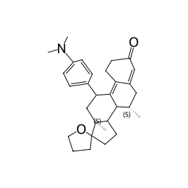 C[C@H]1CC2=CC(=O)CCC2=C2C(c3ccc(N(C)C)cc3)C[C@@]3(C)C(CCC34CCCO4)C21